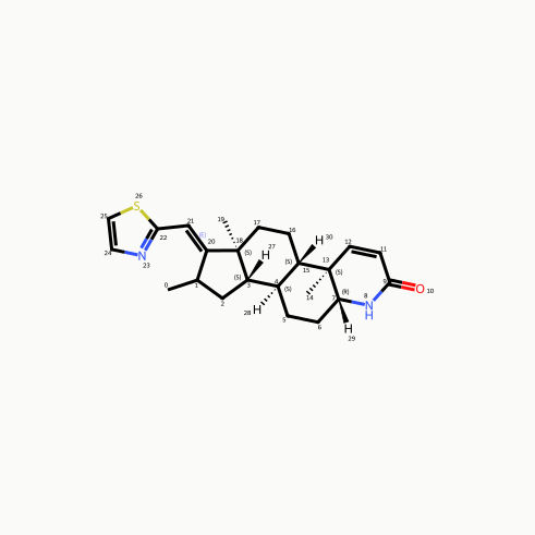 CC1C[C@H]2[C@@H]3CC[C@H]4NC(=O)C=C[C@]4(C)[C@H]3CC[C@]2(C)/C1=C/c1nccs1